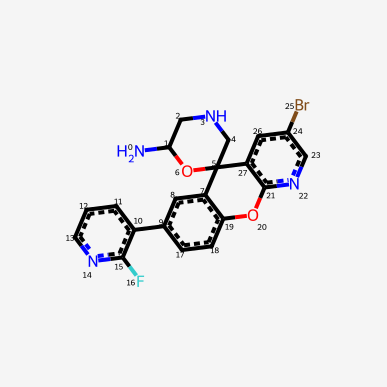 NC1CNCC2(O1)c1cc(-c3cccnc3F)ccc1Oc1ncc(Br)cc12